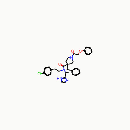 CC(c1ncc[nH]1)N(CCc1ccc(Cl)cc1)C(=O)C1(Cc2ccccc2)CCN(C(=O)COc2ccccc2)CC1